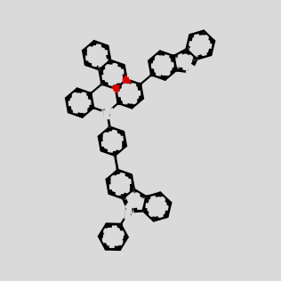 c1ccc(-n2c3ccccc3c3cc(-c4ccc(N(c5ccc(-c6ccc7c(c6)sc6ccccc67)cc5)c5ccccc5-c5cccc6ccccc56)cc4)ccc32)cc1